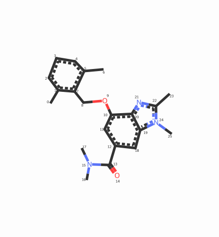 Cc1cccc(C)c1COc1cc(C(=O)N(C)C)cc2c1nc(C)n2C